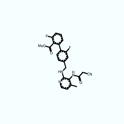 COC(=O)c1c(F)cccc1-c1ccc(CNc2nccc(C)c2NC(=O)CC#N)cc1F